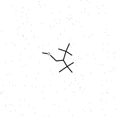 COCC(C(C)(C)C)C(C)(C)C